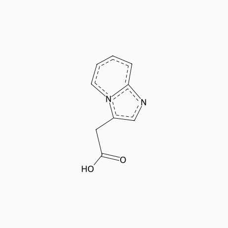 O=C(O)Cc1cnc2ccccn12